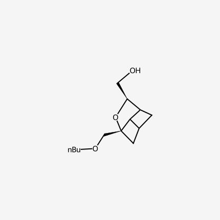 CCCCOC[C@]12CC3CC(C31)[C@H](CO)O2